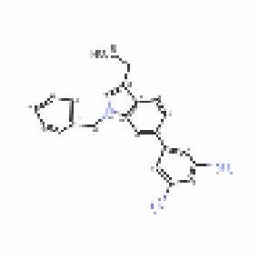 Nc1cc(N)cc(-c2ccc3c(CC(=O)O)cn(Cc4ccccc4)c3c2)c1